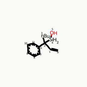 C=CC(CCCC)([SiH2]O)c1ccccc1